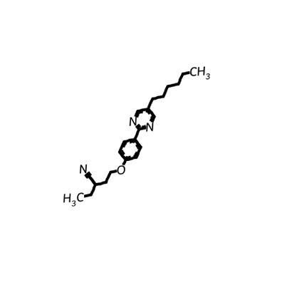 CCCCCCc1cnc(-c2ccc(OCCC(C#N)CC)cc2)nc1